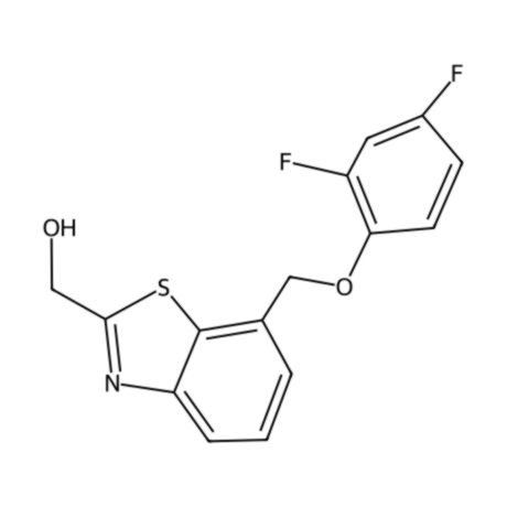 OCc1nc2cccc(COc3ccc(F)cc3F)c2s1